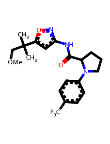 COCC(C)(C)c1cc(NC(=O)C2CCCN2c2ccc(C(F)(F)F)cc2)no1